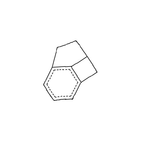 c1cc2c3c(c1)CC3CC2